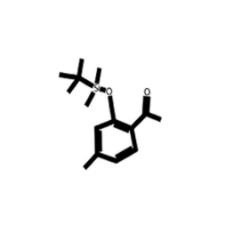 CC(=O)c1ccc(C)cc1O[Si](C)(C)C(C)(C)C